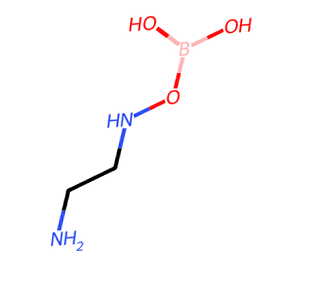 NCCNOB(O)O